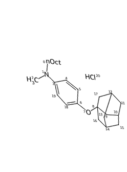 CCCCCCCCN(C)c1ccc(OC23CC4CC(CC(C4)C2)C3)cc1.Cl